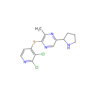 Cc1nc(C2CCCN2)cnc1Sc1ccnc(Cl)c1Cl